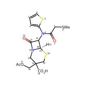 CSCC(=O)N(c1cccs1)C1C(=O)N2CC(COC(C)=O)(C(=O)O)CS[C@H]12